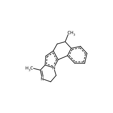 CC1=NCCn2c1cc1c2-c2ccccc2C(C)C1